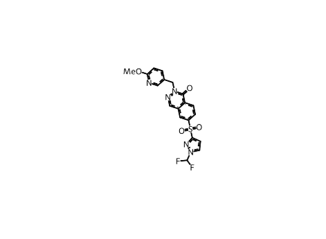 COc1ccc(Cn2ncc3cc(S(=O)(=O)c4ccn(C(F)F)n4)ccc3c2=O)cn1